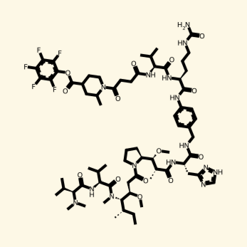 CC[C@H](C)[C@@H]([C@@H](CC(=O)N1CCC[C@H]1[C@H](OC)[C@@H](C)C(=O)N[C@@H](Cc1nc[nH]n1)C(=O)NCc1ccc(NC(=O)[C@H](CCCNC(N)=O)NC(=O)[C@@H](NC(=O)CCC(=O)N2CCC(C(=O)Oc3c(F)c(F)c(F)c(F)c3F)CC2C)C(C)C)cc1)OC)N(C)C(=O)[C@@H](NC(=O)[C@H](C(C)C)N(C)C)C(C)C